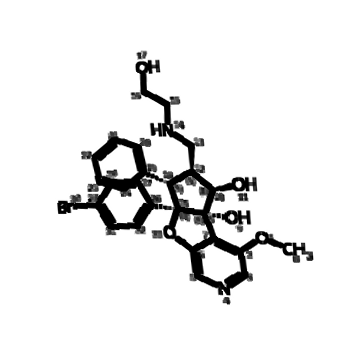 COc1cncc2c1[C@]1(O)[C@H](O)[C@H](CNCCO)[C@@H](c3ccccc3)[C@]1(c1ccc(Br)cc1)O2